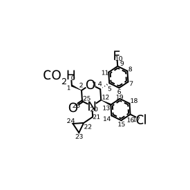 O=C(O)C[C@H]1O[C@H](c2cccc(F)c2)[C@@H](c2ccc(Cl)cc2)N(CC2CC2)C1=O